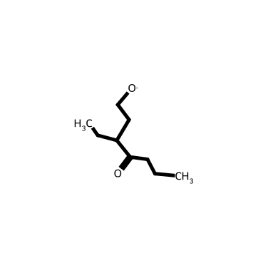 CCCC(=O)C(CC)CC[O]